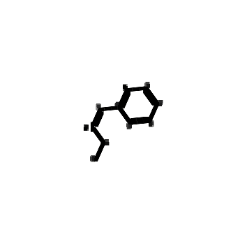 CC/I=C\c1ccccc1